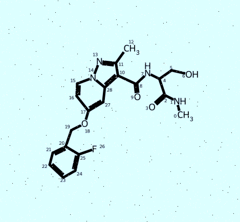 CNC(=O)C(CO)NC(=O)c1c(C)nn2ccc(OCc3ccccc3F)cc12